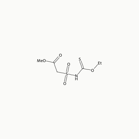 CCOC(=S)NS(=O)(=O)CC(=O)OC